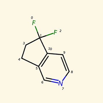 FC1(F)CCc2cnccc21